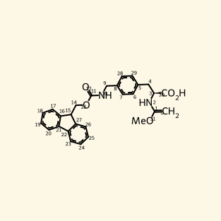 C=C(N[C@@H](Cc1ccc(CNC(=O)OCC2c3ccccc3-c3ccccc32)cc1)C(=O)O)OC